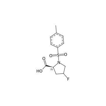 Cc1ccc(S(=O)(=O)N2CC(F)C[C@H]2C(=O)O)cc1